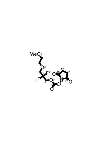 COCCOCC(F)(F)COC(=O)ON1C(=O)CCC1=O